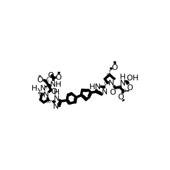 COC[C@H]1C[C@@H](c2ncc(-c3ccc(-c4ccc(-c5cnc([C@@H]6CC[C@H](C)N6C(=O)[C@@](N)(NC(=O)OC)[C@@H](C)OC)[nH]5)cc4)cc3)[nH]2)N(C(=O)[C@@H](NC(=O)O)[C@@H](C)OC)C1